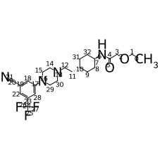 CCOCC(=O)N[C@H]1CC[C@H](CCN2CCN(c3cc(C#N)cc(C(F)(F)F)c3)CC2)CC1